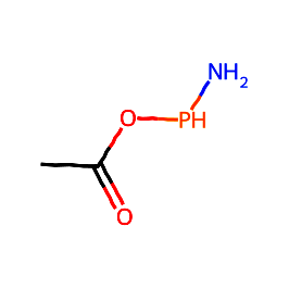 CC(=O)OPN